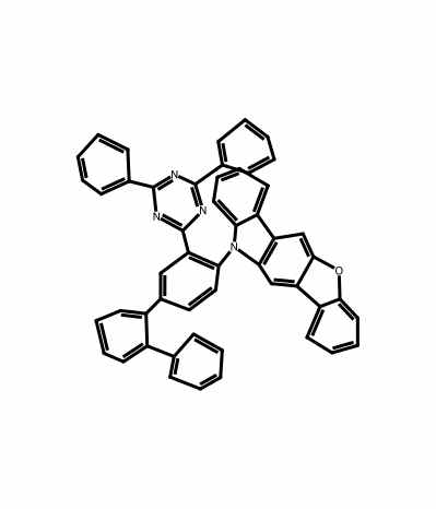 c1ccc(-c2nc(-c3ccccc3)nc(-c3cc(-c4ccccc4-c4ccccc4)ccc3-n3c4ccccc4c4cc5oc6ccccc6c5cc43)n2)cc1